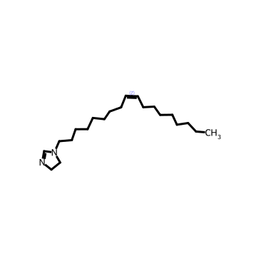 CCCCCCCC/C=C\CCCCCCCCN1C=NCC1